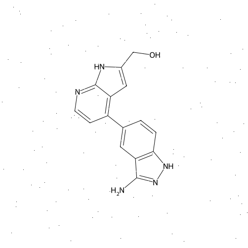 Nc1n[nH]c2ccc(-c3ccnc4[nH]c(CO)cc34)cc12